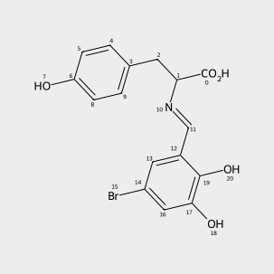 O=C(O)C(Cc1ccc(O)cc1)N=Cc1cc(Br)cc(O)c1O